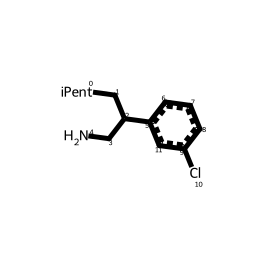 CCCC(C)CC(CN)c1cccc(Cl)c1